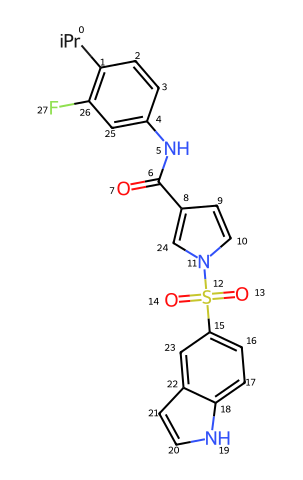 CC(C)c1ccc(NC(=O)c2ccn(S(=O)(=O)c3ccc4[nH]ccc4c3)c2)cc1F